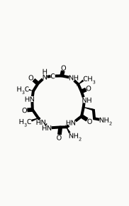 C[C@@H]1NNC(=O)[C@H](N)NC(=O)[C@H](CCN)NC(=O)[C@H](C)NC(=O)CNC(=O)[C@@H](C)NC1=O